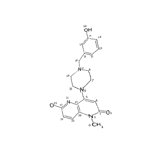 Cn1c(=O)cc(N2CCN(Cc3cccc(O)c3)CC2)c2nc(Cl)ccc21